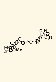 COc1ccc(Br)c2[nH]cc(C(=O)C(=O)N3CCN(C(=O)c4cccc(OCCOCCn5cc(COCCNc6c([N+](=O)[O-])cccc6[N+](=O)[O-])nn5)c4)CC3)c12